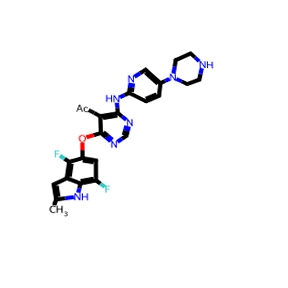 CC(=O)c1c(Nc2ccc(N3CCNCC3)cn2)ncnc1Oc1cc(F)c2[nH]c(C)cc2c1F